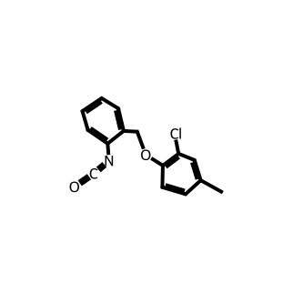 Cc1ccc(OCc2ccccc2N=C=O)c(Cl)c1